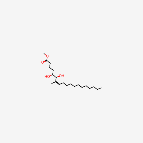 CCCCCCCCCCCC=C(C)C(O)C(O)CCCC(=O)OC